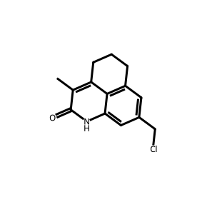 Cc1c2c3c(cc(CCl)cc3[nH]c1=O)CCC2